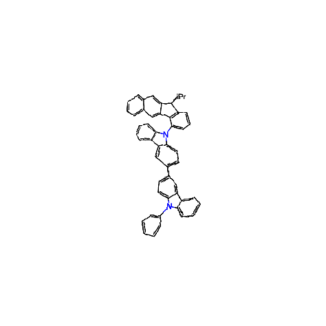 CC(C)C1c2cc3ccccc3cc2-c2c1cccc2-n1c2ccccc2c2cc(-c3ccc4c(c3)c3ccccc3n4-c3ccccc3)ccc21